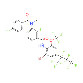 CN(C(=O)c1ccc(F)cc1)c1cccc(C(=O)Nc2c(Br)cc(C(F)(C(F)(F)F)C(F)(F)C(F)(F)F)cc2OC(F)(F)F)c1F